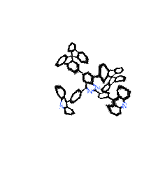 C1=CC(c2nc(-c3ccc(-c4c5ccccc5nc5ccccc45)cc3)c3cc(-c4ccc5c(c4)C4(c6ccccc6-c6ccccc64)c4ccccc4-5)cc(-c4ccc5c(c4)C4(c6ccccc6-c6ccccc64)c4ccccc4-5)c3n2)CC=C1c1c2ccccc2nc2ccccc12